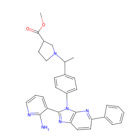 COC(=O)C1CCN(C(C)c2ccc(-n3c(-c4cccnc4N)nc4ccc(-c5ccccc5)nc43)cc2)C1